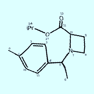 Cc1ccc(C(C)N2CCC2C(=O)OC(C)C)cc1